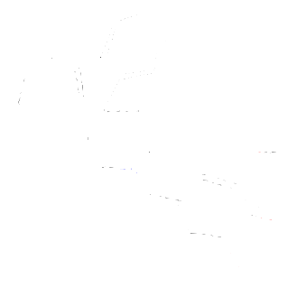 COc1cc(CN2CCC(c3ccccc3)(c3ccccc3)CC2)cc(OC)c1OC.Cl